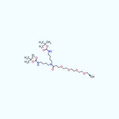 C#CCOCCOCCOCCOCCC(=O)N(CCCCNC(=O)OC(C)(C)C)CCCCNC(=O)OC(C)(C)C